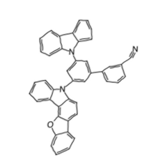 N#Cc1cccc(-c2cc(-n3c4ccccc4c4ccccc43)cc(-n3c4ccccc4c4c5oc6ccccc6c5ccc43)c2)c1